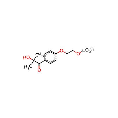 CC(C)(O)C(=O)c1ccc(OCCOC(=O)O)cc1